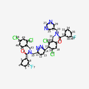 O=C(c1cccc(F)c1)N(Cc1ccc(-c2c(Cl)ccc(CN(Cc3cncnc3)C(=O)c3cccc(F)c3)c2Cl)nn1)Cc1ccc(Cl)cc1Cl